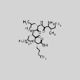 CC[C@H](C)[C@H](N)C(=O)N[C@@H](CC(C)C)C(=O)N[C@@H](CC(C)C)C(=O)N[C@@H](CCSC)C(=O)O